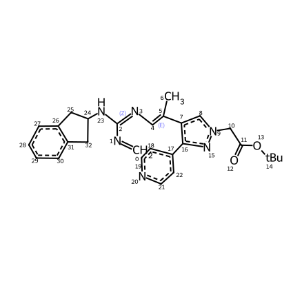 C=N/C(=N\C=C(/C)c1cn(CC(=O)OC(C)(C)C)nc1-c1ccncc1)NC1Cc2ccccc2C1